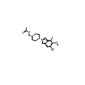 COc1c(Br)cc2cn([C@H]3CC[C@H](COC(C)=O)CC3)nc2c1C